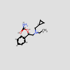 CCN(CC1CC1)CC(OC(N)=O)c1ccccc1